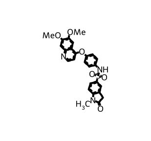 COc1cc2nccc(Oc3ccc(NS(=O)(=O)c4ccc5c(c4)CC(=O)N5C)cc3)c2cc1OC